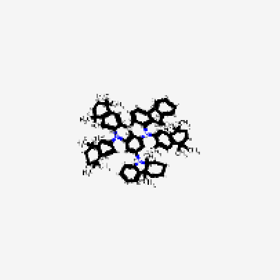 Cc1cc2c(cc1N1c3cc(N4c5ccccc5C5(C)CCCCC45C)cc4c3B(c3cc5c(cc3N4c3ccc4c(c3)C(C)(C)CCC4(C)C)C(C)(C)CCC5(C)C)c3ccc4c(c31)C(C)(C)c1ccccc1-4)C(C)(C)CCC2(C)C